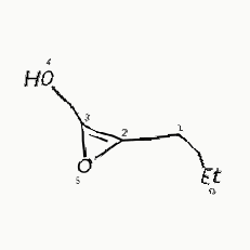 CCCC1=C(O)O1